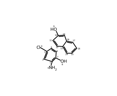 Nc1cc(Cl)ccc1O.Oc1ccc2ccccc2c1